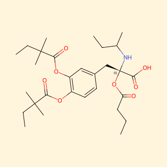 CCCC(=O)O[C@](Cc1ccc(OC(=O)C(C)(C)CC)c(OC(=O)C(C)(C)CC)c1)(NC(C)CC)C(=O)O